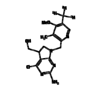 [2H]C([2H])([2H])c1cnc(CN2CC(CO)c3c(Cl)nc(N)nc32)c(C)c1OC